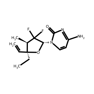 C=C[C@]1(CC)O[C@@H](n2ccc(N)nc2=O)C(F)(F)[C@@H]1C